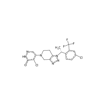 C[C@H](c1ccc(Cl)cc1C(F)(F)F)n1nnc2c1CCN(c1cn[nH]c(=O)c1Cl)C2